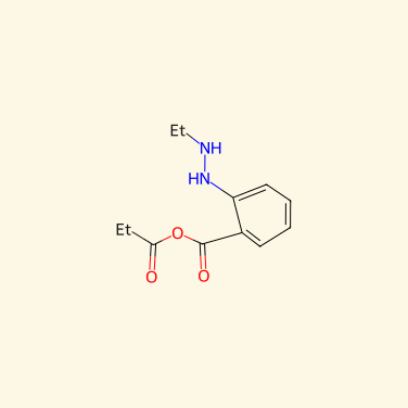 CCNNc1ccccc1C(=O)OC(=O)CC